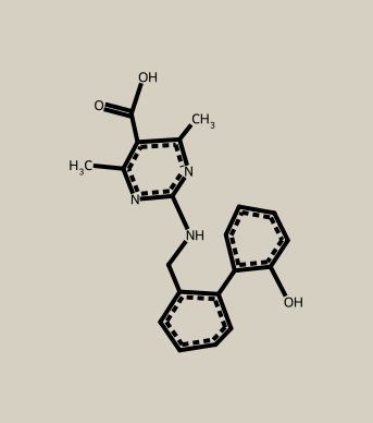 Cc1nc(NCc2ccccc2-c2ccccc2O)nc(C)c1C(=O)O